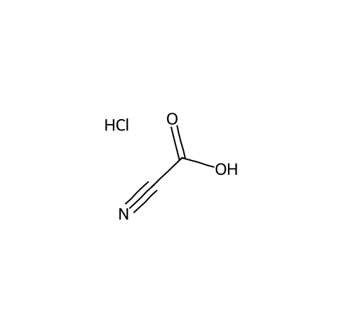 Cl.N#CC(=O)O